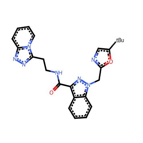 CC(C)(C)c1cnc(Cn2nc(C(=O)NCCc3nnc4ccccn34)c3ccccc32)o1